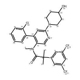 CN(C(=O)C(C)(C)c1cc(C(F)(F)F)cc(C(F)(F)F)c1)c1cnc(N2CCC(O)CC2)cc1-c1ccccc1Cl